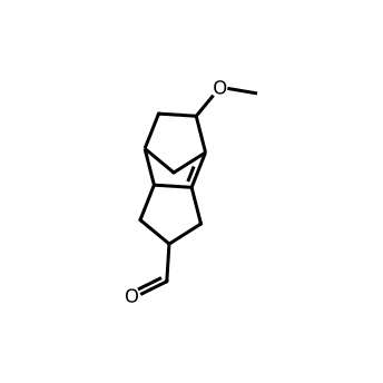 COC1CC2CC1=C1CC(C=O)CC12